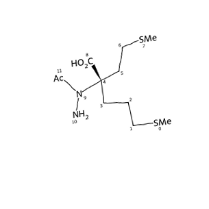 CSCCC[C@](CCSC)(C(=O)O)N(N)C(C)=O